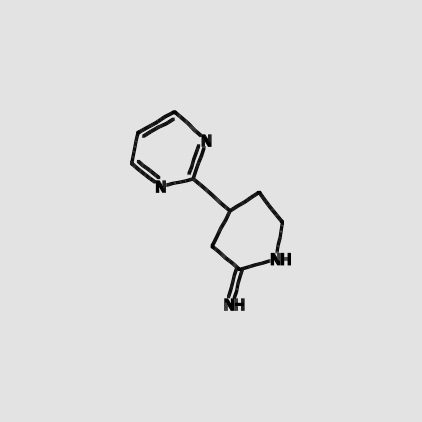 N=C1CC(c2ncccn2)CCN1